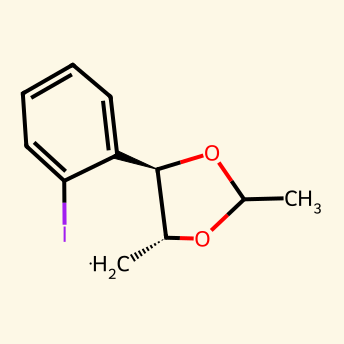 [CH2][C@H]1OC(C)O[C@@H]1c1ccccc1I